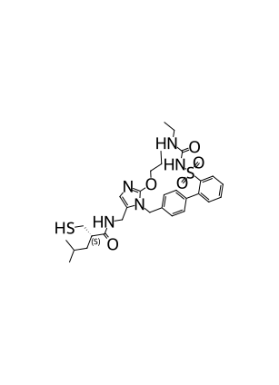 CCCOc1ncc(CNC(=O)[C@@H](CS)CC(C)C)n1Cc1ccc(-c2ccccc2S(=O)(=O)NC(=O)NCC)cc1